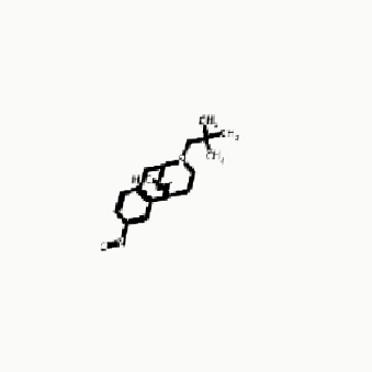 CC(C)(C)CN1CCC23CCCC2(C)C1Cc1ccc(N=O)cc13